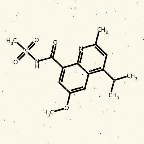 COc1cc(C(=O)NS(C)(=O)=O)c2nc(C)cc(C(C)C)c2c1